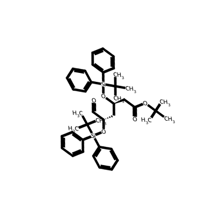 CC(C)(C)OC(=O)C[C@@H](C[C@@H](C=O)O[Si](c1ccccc1)(c1ccccc1)C(C)(C)C)O[Si](c1ccccc1)(c1ccccc1)C(C)(C)C